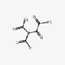 CCC(=O)N(C(=O)CC)C(=O)C(N)=O